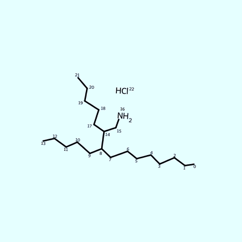 CCCCCCCCC(CCCCC)C(CN)CCCCC.Cl